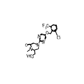 CN1C(=O)CN(c2ncc(OCc3c(Cl)cccc3C(F)(F)F)cn2)CC1CO